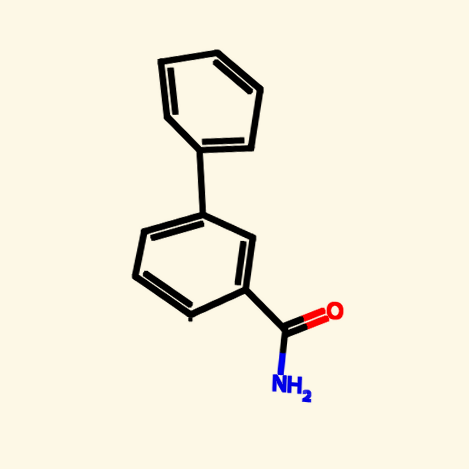 NC(=O)c1[c]ccc(-c2ccccc2)c1